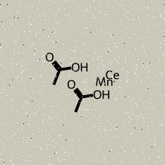 CC(=O)O.CC(=O)O.[Ce].[Mn]